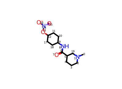 CN1CCCC(C(=O)NC2CCC(O[N+](=O)[O-])CC2)C1